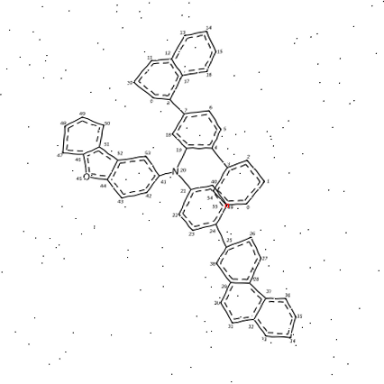 c1ccc(-c2ccc(-c3cccc4ccccc34)cc2N(c2ccc(-c3ccc4c(ccc5ccccc54)c3)cc2)c2ccc3oc4ccccc4c3c2)cc1